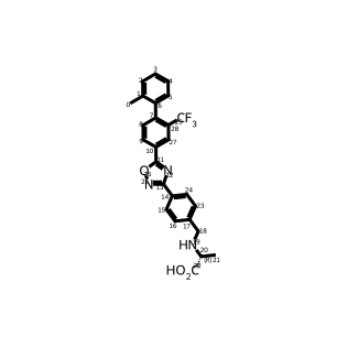 Cc1ccccc1-c1ccc(-c2nc(-c3ccc(CN[C@H](C)C(=O)O)cc3)no2)cc1C(F)(F)F